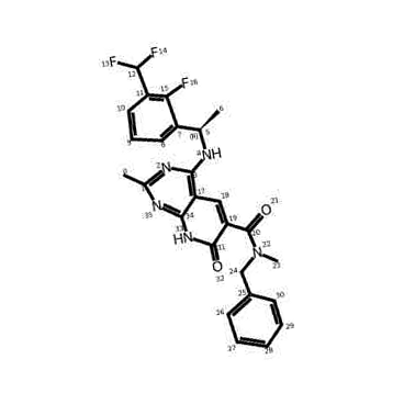 Cc1nc(N[C@H](C)c2cccc(C(F)F)c2F)c2cc(C(=O)N(C)Cc3ccccc3)c(=O)[nH]c2n1